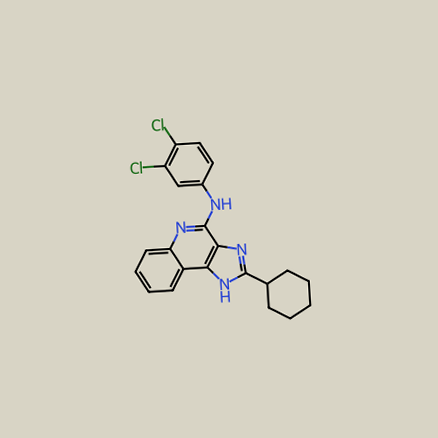 Clc1ccc(Nc2nc3ccccc3c3[nH]c(C4CCCCC4)nc23)cc1Cl